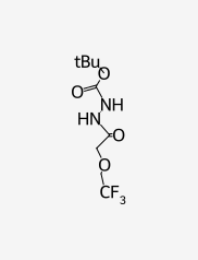 CC(C)(C)OC(=O)NNC(=O)COCC(F)(F)F